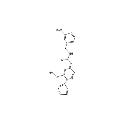 CCCOc1c/c(=N\C(=O)NCc2cccc(OC)c2)cnn1-c1ccccc1